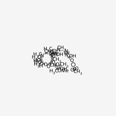 CC[C@H]1OC(=O)[C@H](C)[C@@H](OC[C@H]2C[C@@](C)(OC)[C@@H](O)[C@H](C)O2)[C@H](C)[C@@H](O[C@@H]2O[C@H](C)C[C@H](N(C)CCc3cn(C[C@@H](O)COc4ccc(S(C)(=O)=O)cc4)nn3)[C@H]2O)[C@](C)(O)C[C@@H](C)CN(C)[C@H](C)[C@@H](O)[C@]1(C)O